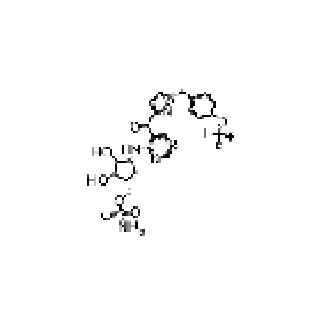 NS(=O)(=O)OC[C@H]1C[C@@H](Nc2ncncc2C(=O)c2ccn(Cc3ccc(OC(F)(F)F)cc3)n2)[C@H](O)[C@@H]1O